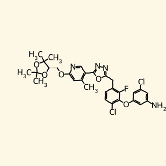 Cc1cc(OC[C@@H]2OC(C)(C)OC2(C)C)ncc1-c1nnc(Cc2ccc(Cl)c(Oc3cc(N)cc(Cl)c3)c2F)o1